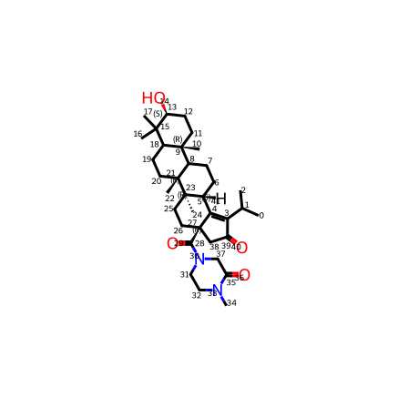 CC(C)C1=C2[C@H]3CCC4[C@@]5(C)CC[C@H](O)C(C)(C)C5CC[C@@]4(C)[C@]3(C)CC[C@@]2(C(=O)N2CCN(C)C(=O)C2)CC1=O